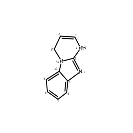 C1=CNc2nc3ccccc3n2C1